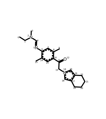 CCN(C)C=Nc1cc(C)c(C(=O)Cn2cc3c(c2)CCCC3)cc1C